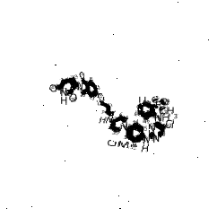 COc1cc(N2CCC(NCCCCOc3ccc4c(c3)CN(C3CCC(=O)NC3=O)C4=O)CC2)ccc1Nc1ncc(Cl)c(Nc2ccccc2P(C)(C)=O)n1